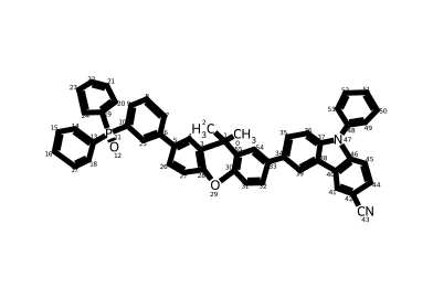 CC1(C)c2cc(-c3cccc(P(=O)(c4ccccc4)c4ccccc4)c3)ccc2Oc2ccc(-c3ccc4c(c3)c3cc(C#N)ccc3n4-c3ccccc3)cc21